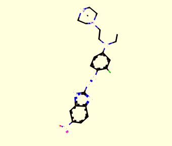 CCN(CC[N+]12CCN(CC1)CC2)c1ccc(N=Nc2nc3cc([N+](=O)[O-])ccc3[nH]2)c(Cl)c1